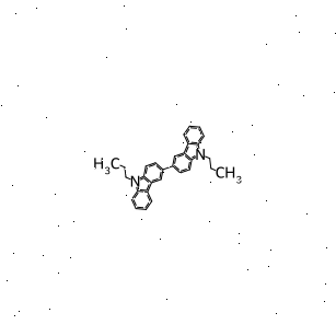 CCCn1c2ccccc2c2cc(-c3ccc4c(c3)c3ccccc3n4CCC)ccc21